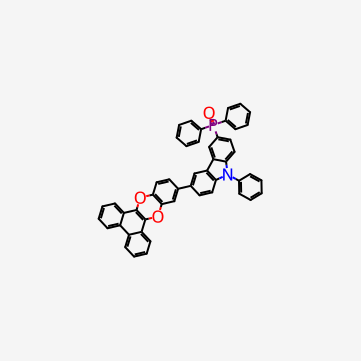 O=P(c1ccccc1)(c1ccccc1)c1ccc2c(c1)c1cc(-c3ccc4c(c3)Oc3c(c5ccccc5c5ccccc35)O4)ccc1n2-c1ccccc1